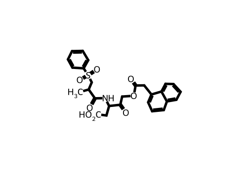 CC(CS(=O)(=O)c1ccccc1)C(=O)NC(CC(=O)O)C(=O)COC(=O)Cc1cccc2ccccc12